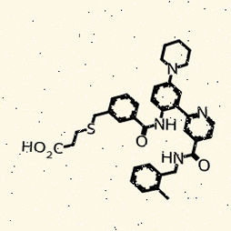 Cc1ccccc1CNC(=O)c1ccnc(-c2cc(N3CCCCC3)ccc2NC(=O)c2cccc(CSCCC(=O)O)c2)c1